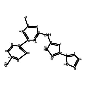 Cc1cc(Nc2cc(-c3ccco3)n[nH]2)nc(-c2ccc(Cl)cc2)n1